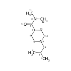 CC(C)CN1CCC(C(=O)N(C)C)CC1